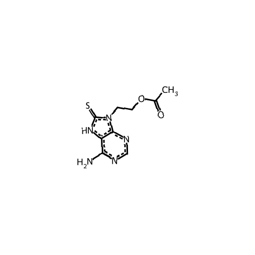 CC(=O)OCCn1c(=S)[nH]c2c(N)ncnc21